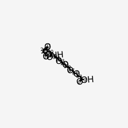 O=C(O)CCOCCOCCOCCOCCNC(=O)CC1C(=O)C=CC1=O